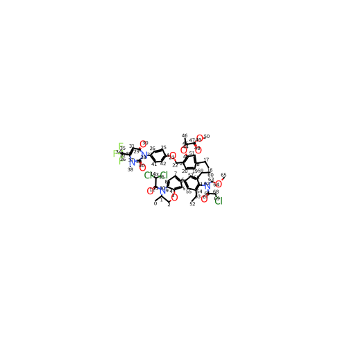 CC1COc2ccccc2N1C(=O)C(Cl)Cl.CCc1ccc(COc2ccc(-n3c(=O)cc(C(F)(F)F)n(C)c3=O)cc2)c(OC(C)C(=O)OC)c1.CCc1cccc(CC)c1N(COC)C(=O)CCl